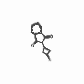 O=C1c2ccccc2C(=O)C1C1CC(Br)C1